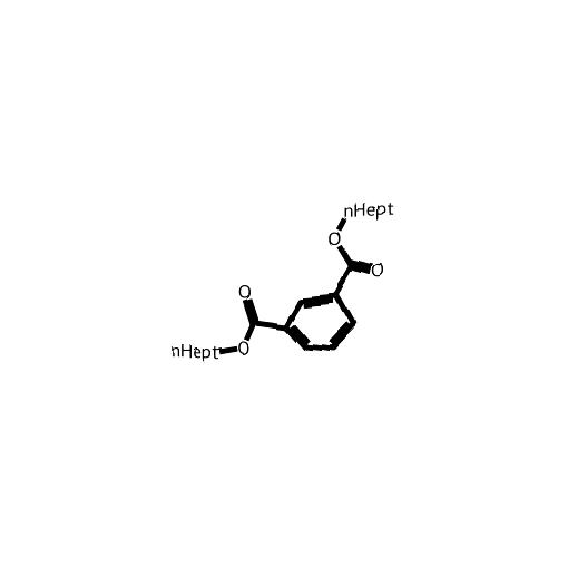 CCCCCCCOC(=O)c1cccc(C(=O)OCCCCCCC)c1